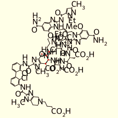 CCn1nc(C)cc1C(=O)Nc1nc2cc(C(N)=O)cc(OC)c2n1C/C=C/Cn1c(NC(=O)c2cc(C)nn2CC)nc2cc(C(N)=O)cc(OCCCNC(=O)[C@H](CC(=O)O)NC(=O)[C@H](CC(=O)O)NC(=O)[C@H](CC(=O)O)NC(=O)[C@H](CC(=O)O)NC(=O)CCCN3CCc4c(nc(C(=O)Nc5cccc(-c6cccc(NC(=O)c7nc8c(n7C)CCN(CCCC(=O)O)C8)c6Cl)c5Cl)n4C)C3)c21